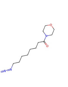 [N-]=[N+]=NCCCCC[CH]CC(=O)N1CCOCC1